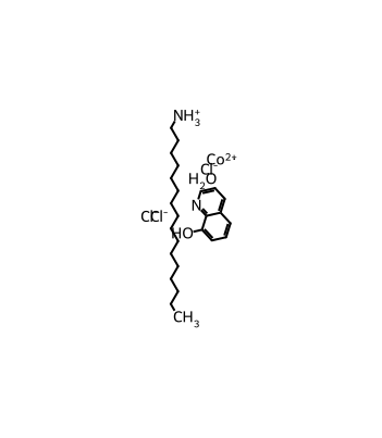 CCCCCCCCCCCCCCCC[NH3+].O.Oc1cccc2cccnc12.[Cl-].[Cl-].[Cl-].[Co+2]